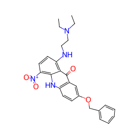 CCN(CC)CCNc1ccc([N+](=O)[O-])c2[nH]c3ccc(OCc4ccccc4)cc3c(=O)c12